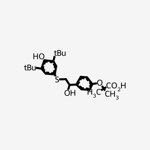 CC(C)(Oc1ccc(C(O)CSc2cc(C(C)(C)C)c(O)c(C(C)(C)C)c2)cc1)C(=O)O